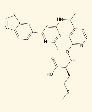 CSCC[C@H](NOc1cc(C(C)Nc2cc(-c3ccc4ncsc4c3)nc(C)n2)ccn1)C(=O)O